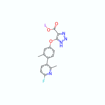 Cc1cc(Oc2[nH]nnc2C(=O)OI)ccc1-c1ccc(F)nc1C